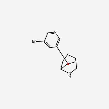 Brc1cncc(N2CC3CCC(C2)NC3)c1